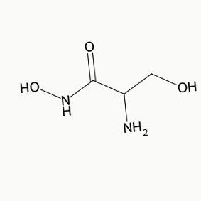 NC(CO)C(=O)NO